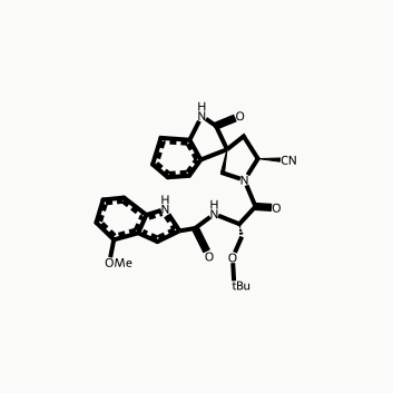 COc1cccc2[nH]c(C(=O)N[C@@H](COC(C)(C)C)C(=O)N3C[C@]4(C[C@H]3C#N)C(=O)Nc3ccccc34)cc12